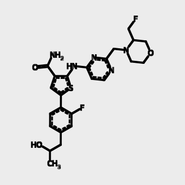 CC(O)Cc1ccc(-c2cc(C(N)=O)c(Nc3ccnc(CN4CCOCC4CF)n3)s2)c(F)c1